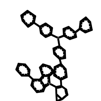 C1=CC2CC2C(n2c3ccccc3c3c(-c4ccccc4)cccc32)=C1c1ccc(-c2ccc(N(c3ccc(-c4ccccc4)cc3)c3ccc(-c4ccccc4)cc3)cc2)cc1